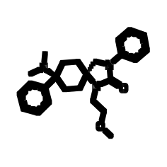 COCCN1C(=O)N(c2ccccc2)C[C@]12CC[C@](c1ccccc1)(N(C)C)CC2